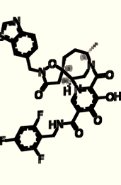 C[C@H]1CC[C@]2(CC(=O)N(Cc3ccc4ncsc4c3)O2)[C@H]2CN1C(=O)c1c(O)c(=O)c(C(=O)NCc3c(F)cc(F)cc3F)cn12